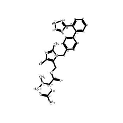 CCCCc1nc(Cl)c(COC(=O)[C@H](CC(N)=O)N(C)C)n1Cc1ccc(-c2ccccc2-c2nn[nH]n2)cc1